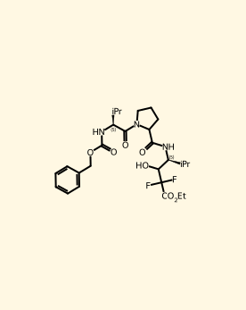 CCOC(=O)C(F)(F)C(O)[C@@H](NC(=O)C1CCCN1C(=O)[C@@H](NC(=O)OCc1ccccc1)C(C)C)C(C)C